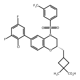 CC1(C(=O)O)CC(C[C@H]2CN(S(=O)(=O)c3cccc(C(F)(F)F)c3)c3cc(-c4cc(F)cc(F)c4Cl)ccc3O2)C1